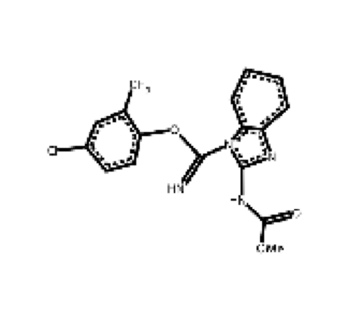 COC(=O)Nc1nc2ccccc2n1C(=N)Oc1ccc(Cl)cc1C